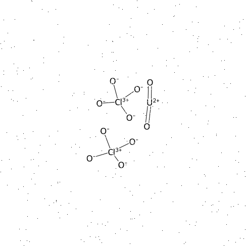 [O-][Cl+3]([O-])([O-])[O-].[O-][Cl+3]([O-])([O-])[O-].[O]=[U+2]=[O]